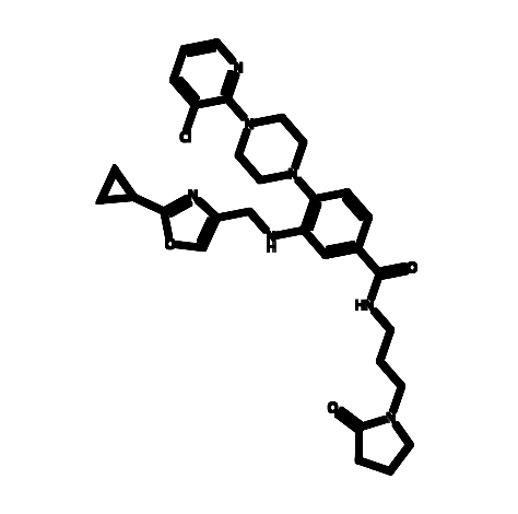 O=C(NCCCN1CCCC1=O)c1ccc(N2CCN(c3ncccc3Cl)CC2)c(NCc2coc(C3CC3)n2)c1